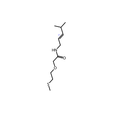 CSCCOCC(=O)NC/C=C/C(C)C